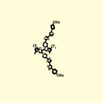 COc1ccc(C2CC(c3csc(C4CCN(C(Cn5nc(C(F)(F)F)cc5C)C(=O)C(Cn5nc(C(F)(F)F)cc5C)N5CCC(c6nc(C7=NOC(c8ccc(OC)cc8)C7)cs6)CC5)CC4)n3)=NO2)cc1